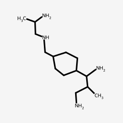 CC(N)CNCC1CCC(C(N)C(C)CN)CC1